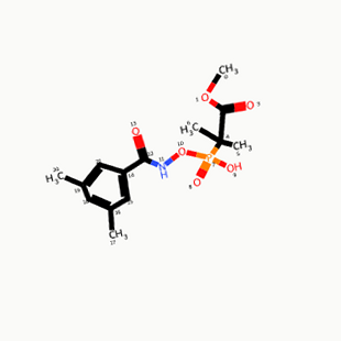 COC(=O)C(C)(C)P(=O)(O)ONC(=O)c1cc(C)cc(C)c1